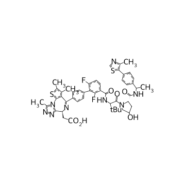 Cc1ncsc1-c1ccc(C(C)NC(=O)[C@@H]2C[C@@H](O)CN2C(=O)C(NC(=O)c2ccc(F)c(-c3ccc(C4=N[C@@H](CC(=O)O)c5nnc(C)n5-c5sc(C)c(C)c54)cc3)c2F)C(C)(C)C)cc1